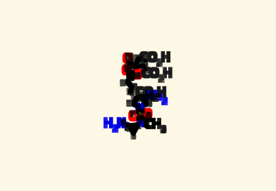 CN(C1CC1N)S(=O)(=O)N1C[C@H](CCCB2OC(=O)C(CC(=O)O)(CC(=O)O)O2)[C@](N)(C(=O)O)C1